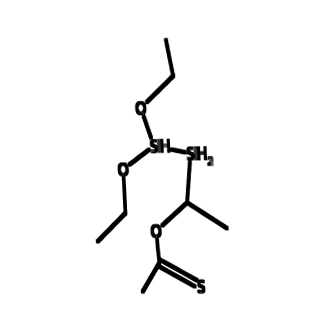 CCO[SiH](OCC)[SiH2]C(C)OC(C)=S